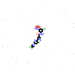 Cn1cc(C(=O)Nc2cc(Cl)cc(NS(C)(=O)=O)c2)cc1-c1ncc(N2CC(F)(F)C2)cc1F